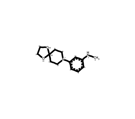 CNc1cccc(N2CCC3(CC2)OCCO3)c1